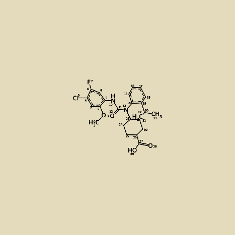 COc1cc(Cl)c(F)cc1NC(=O)N(c1ccccc1C(C)C)C1CCC(C(=O)O)CC1